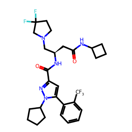 O=C(C[C@H](CN1CCC(F)(F)C1)NC(=O)c1cc(-c2ccccc2C(F)(F)F)n(C2CCCC2)n1)NC1CCC1